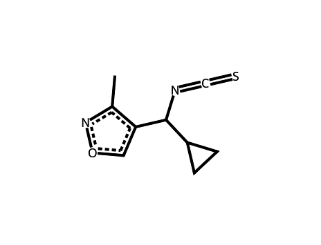 Cc1nocc1C(N=C=S)C1CC1